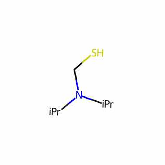 CC(C)N(CS)C(C)C